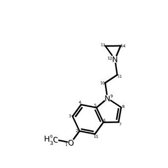 COc1ccc2c(ccn2CCN2CC2)c1